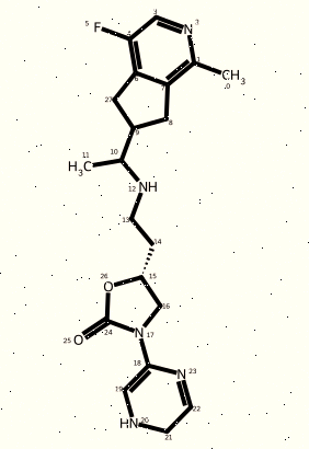 Cc1ncc(F)c2c1CC(C(C)NCC[C@@H]1CN(C3=CNCC=N3)C(=O)O1)C2